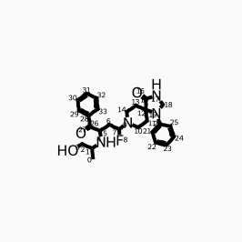 CC(CO)NC(CC(F)N1CCC2(CC1)C(=O)NCN2c1ccccc1)C(=O)c1ccccc1